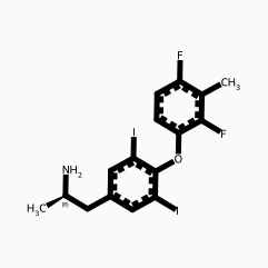 Cc1c(F)ccc(Oc2c(I)cc(C[C@@H](C)N)cc2I)c1F